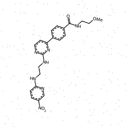 COCCNC(=O)c1ccc(-c2ccnc(NCCNc3ccc([N+](=O)[O-])cn3)n2)cc1